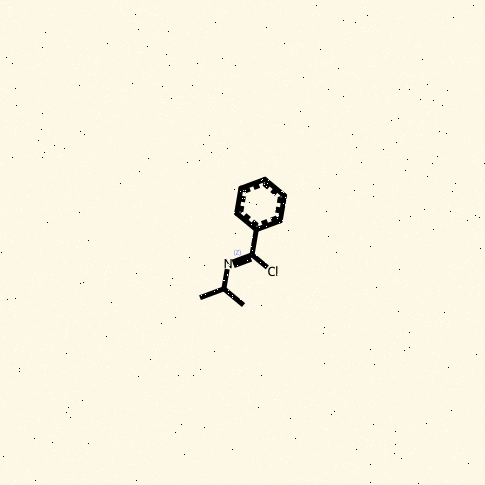 CC(C)/N=C(\Cl)c1ccccc1